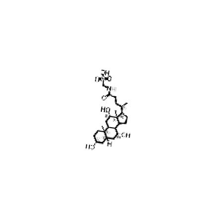 C[C@H](CCC(=O)NCS(=O)(=O)O)[C@H]1CCC2C3C(C[C@H](O)[C@@]21C)[C@@]1(C)CC[C@@H](O)C[C@H]1C[C@H]3O